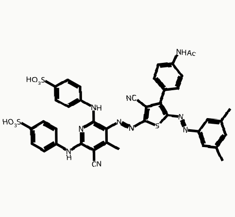 CC(=O)Nc1ccc(-c2c(N=Nc3cc(C)cc(C)c3)sc(N=Nc3c(Nc4ccc(S(=O)(=O)O)cc4)nc(Nc4ccc(S(=O)(=O)O)cc4)c(C#N)c3C)c2C#N)cc1